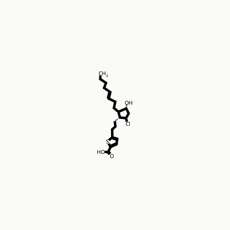 CCCC/C=C/CCC1[C@@H](CCCc2ccc(C(=O)O)s2)C(Cl)C[C@H]1O